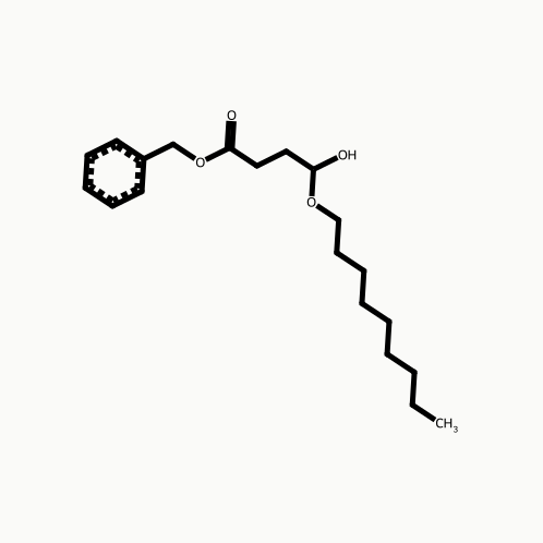 CCCCCCCCCOC(O)CCC(=O)OCc1ccccc1